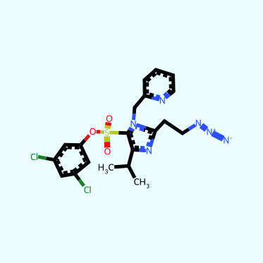 CC(C)c1nc(CCN=[N+]=[N-])n(Cc2ccccn2)c1S(=O)(=O)Oc1cc(Cl)cc(Cl)c1